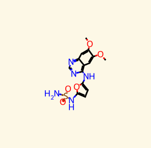 COc1cc2ncnc(Nc3ccc(NS(N)(=O)=O)o3)c2cc1OC